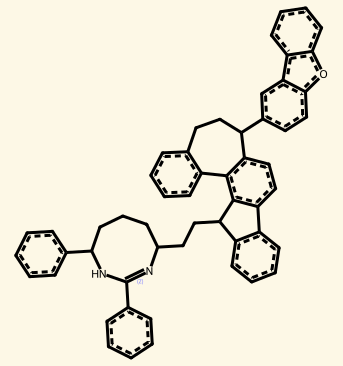 c1ccc(/C2=N/C(CCC3c4ccccc4-c4ccc5c(c43)-c3ccccc3CCC5c3ccc4oc5ccccc5c4c3)CCCC(c3ccccc3)N2)cc1